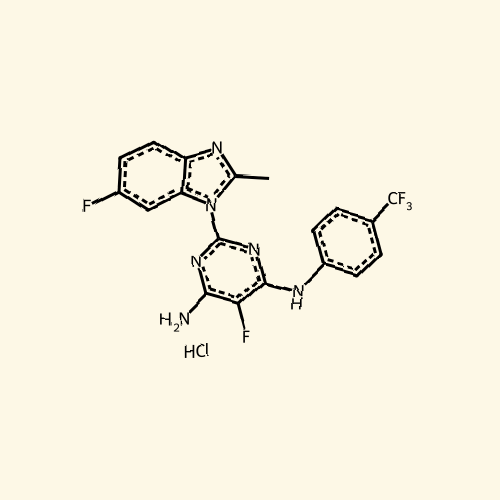 Cc1nc2ccc(F)cc2n1-c1nc(N)c(F)c(Nc2ccc(C(F)(F)F)cc2)n1.Cl